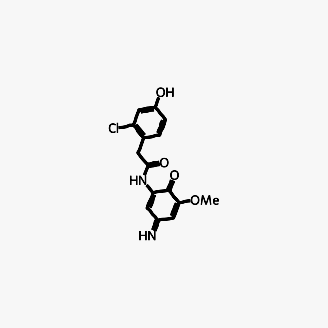 COC1=CC(=N)C=C(NC(=O)Cc2ccc(O)cc2Cl)C1=O